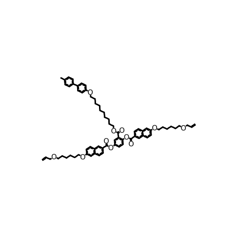 C=CCOCCCCCCOc1ccc2cc(C(=O)Oc3ccc(OC(=O)c4ccc5cc(OCCCCCCOCC=C)ccc5c4)c(C(=O)OCCCCCCCCCCOc4ccc(-c5ccc(C)cc5)cc4)c3)ccc2c1